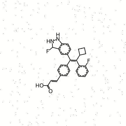 O=C(O)/C=C/c1ccc(/C(=C(\c2ccccc2F)C2CCC2)c2ccc3c(c2)C(F)NN3)cc1